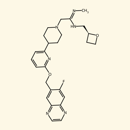 C/N=C(/CN1CCC(c2cccc(OCc3cc4nccnc4cc3F)n2)CC1)NC[C@@H]1CCO1